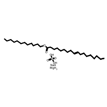 CCCCCCCCC=CCCCCCCCC(=O)OCCCCCCCCCCCC.O=S(=O)(O)O.[MgH2].[NaH]